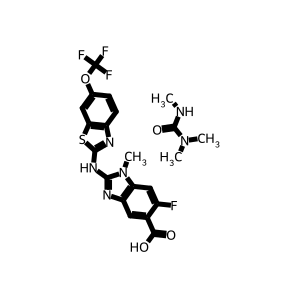 CNC(=O)N(C)C.Cn1c(Nc2nc3ccc(OC(F)(F)F)cc3s2)nc2cc(C(=O)O)c(F)cc21